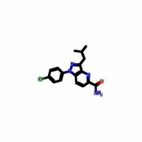 CC(C)Cc1nn(-c2ccc(Cl)cc2)c2ccc(C(N)=O)nc12